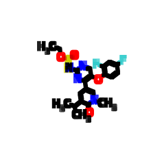 CCO[SH](=O)=Nc1ncc(Oc2ccc(F)cc2F)c(-c2cc(C(C)C)c(=O)n(C)c2)n1